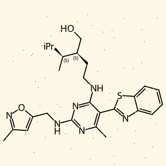 Cc1cc(CNc2nc(C)c(-c3nc4ccccc4s3)c(NCC[C@H](CO)[C@@H](C)C(C)C)n2)on1